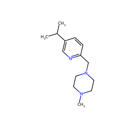 CC(C)c1ccc(CN2CCN(C)CC2)nc1